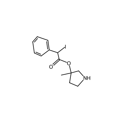 CC1(OC(=O)C(I)c2ccccc2)CCNC1